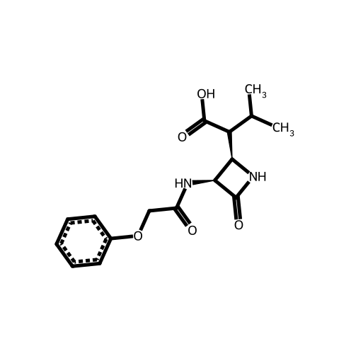 CC(C)C(C(=O)O)[C@H]1NC(=O)[C@H]1NC(=O)COc1ccccc1